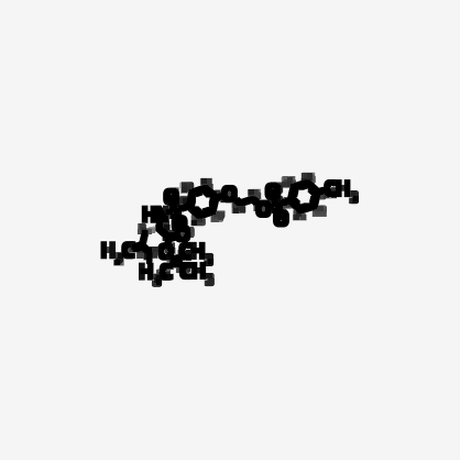 C=C(F)C[C@H](NS(=O)(=O)c1ccc(OCCOS(=O)(=O)c2ccc(C)cc2)cc1)C(=O)OC(C)(C)C